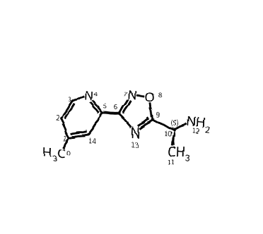 Cc1ccnc(-c2noc([C@H](C)N)n2)c1